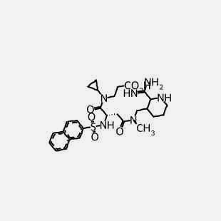 CN(CC1CCCNC1C(=N)N)C(=O)C[C@H](NS(=O)(=O)c1ccc2ccccc2c1)C(=O)N(CCC(=O)O)C1CC1